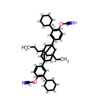 CCCC12CC3(CC)CC(c4ccc(OC#N)c(C5CCCCC5)c4)(C1)CC(c1ccc(OC#N)c(C4CCCCC4)c1)(C3)C2